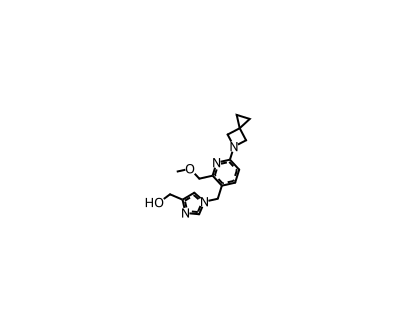 COCc1nc(N2CC3(CC3)C2)ccc1Cn1cnc(CO)c1